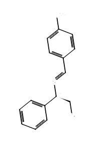 COc1ccc(/C=N/[C@@H](CO)c2ccccc2)cc1